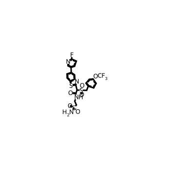 NS(=O)(=O)CCNC(=O)C(c1nc2cc(-c3ccc(F)nc3)ccc2s1)S(=O)(=O)Cc1ccc(OC(F)(F)F)cc1